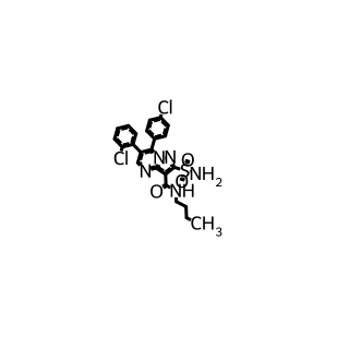 CCCCNC(=O)c1c(S(N)(=O)=O)nn2c(-c3ccc(Cl)cc3)c(-c3ccccc3Cl)cnc12